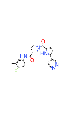 Cc1cc(NC(=O)[C@H]2CCN(C(=O)c3ccc(-c4ccnnc4)[nH]3)C2)ccc1F